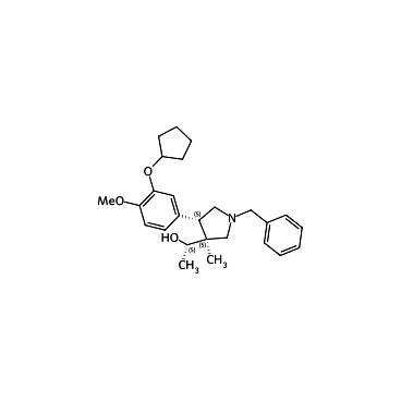 COc1ccc([C@@H]2CN(Cc3ccccc3)C[C@@]2(C)[C@H](C)O)cc1OC1CCCC1